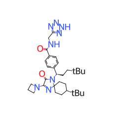 CC(C)(C)CC[C@H](c1ccc(C(=O)NCc2nn[nH]n2)cc1)N1C(=O)C(N2CCC2)=NC12CCC(C(C)(C)C)CC2